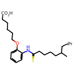 CC(C)CC(C)CCCCC(=S)Nc1ccccc1OCCCCCC(=O)O